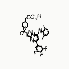 Cc1cccc(C)c1N(C)c1cc(-c2cc(F)c(F)c(F)c2)nc2cc(C(=O)N3CCC(CC(=O)O)CC3)nn12